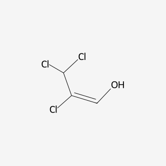 O/C=C(/Cl)C(Cl)Cl